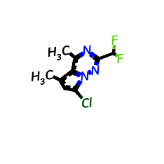 Cc1cc(Cl)n2nc(C(F)F)nc(C)c12